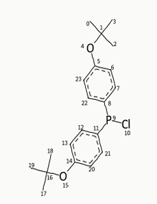 CC(C)(C)Oc1ccc(P(Cl)c2ccc(OC(C)(C)C)cc2)cc1